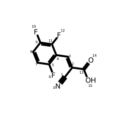 N#C/C(=C\c1c(F)ccc(F)c1F)C(=O)O